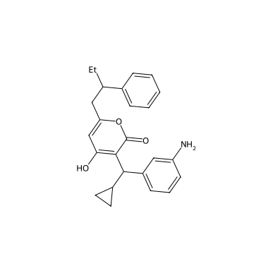 CCC(Cc1cc(O)c(C(c2cccc(N)c2)C2CC2)c(=O)o1)c1ccccc1